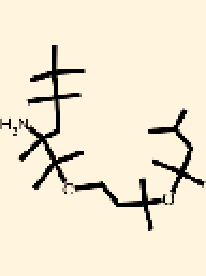 CC(C)CC(C)(C)OC(C)(C)CCOC(C)(C)C(C)(N)CC(C)(C)C(C)(C)C